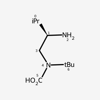 CC(C)[C@@H](N)CN(C(=O)O)C(C)(C)C